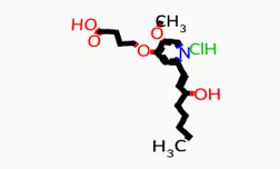 CCCCCC(O)C=Cc1cc(OCCCC(=O)O)c(OC)cn1.Cl